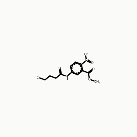 COC(=O)c1cc(NC(=O)CCCCl)ccc1[N+](=O)[O-]